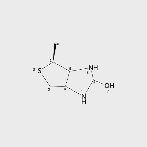 C[C@@H]1SCC2NC(O)NC21